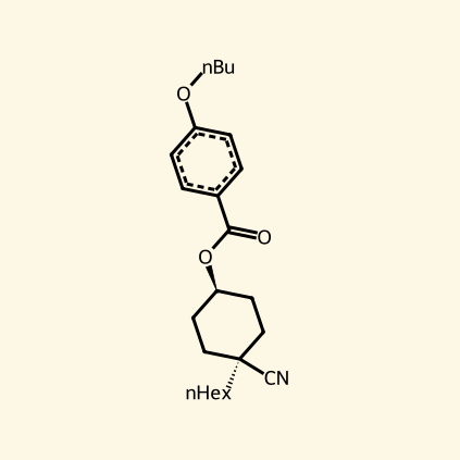 CCCCCC[C@]1(C#N)CC[C@@H](OC(=O)c2ccc(OCCCC)cc2)CC1